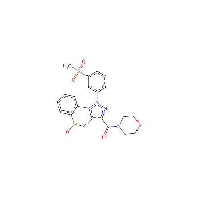 CS(=O)(=O)c1cccc(-n2nc(C(=O)N3CCOCC3)c3c2-c2ccccc2[S+]([O-])C3)c1